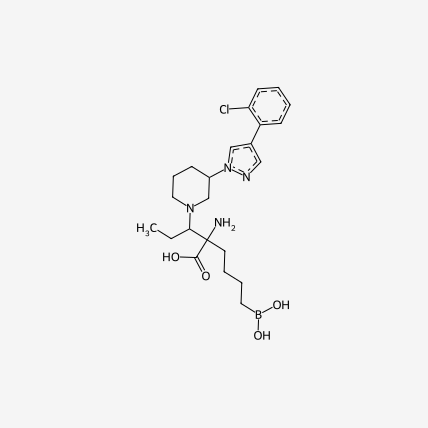 CCC(N1CCCC(n2cc(-c3ccccc3Cl)cn2)C1)C(N)(CCCCB(O)O)C(=O)O